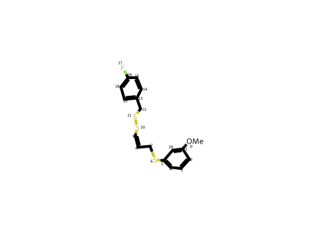 COc1cccc(SC/C=C\SSCc2ccc(F)cc2)c1